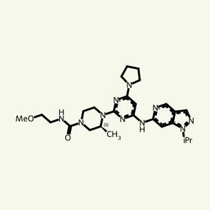 COCCNC(=O)N1CCN(c2nc(Nc3cc4c(cn3)cnn4C(C)C)cc(N3CCCC3)n2)[C@@H](C)C1